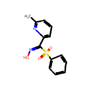 Cc1cccc(C(=NO)S(=O)(=O)c2ccccc2)n1